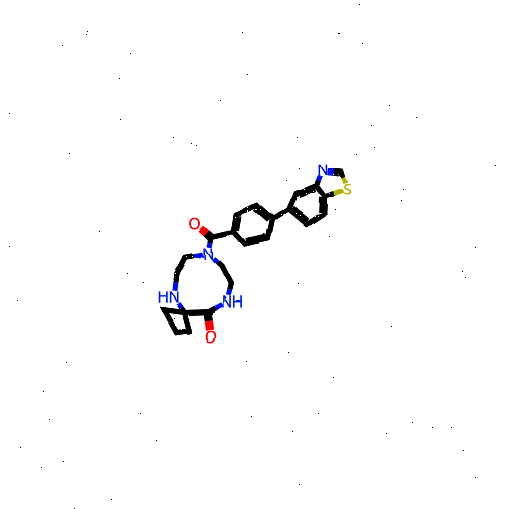 O=C(c1ccc(-c2ccc3scnc3c2)cc1)N1CCNC(=O)C2(CCC2)NCC1